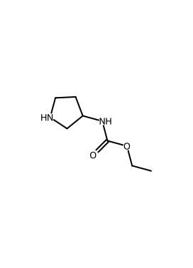 CCOC(=O)NC1CCNC1